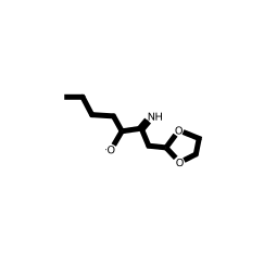 CCCCC([O])C(=N)CC1OCCO1